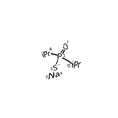 CC(C)P(=O)([S-])C(C)C.[Na+]